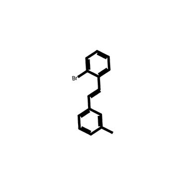 Cc1cccc(C=Cc2ccccc2Br)c1